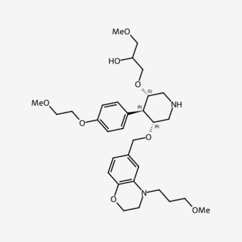 COCCCN1CCOc2ccc(CO[C@H]3CNC[C@@H](OCC(O)COC)[C@@H]3c3ccc(OCCOC)cc3)cc21